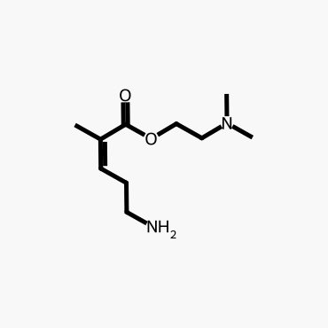 CC(=CCCN)C(=O)OCCN(C)C